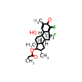 CCC(=O)OC1[C@@H](C)C[C@H]2[C@@H]3C[C@H](F)C4=C(F)C(=O)C(C)=C[C@]4(C)[C@H]3[C@@H](O)C[C@]12C